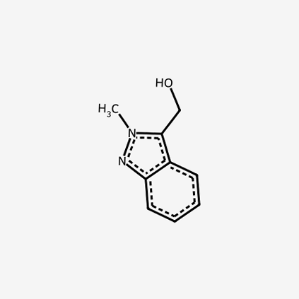 Cn1nc2ccccc2c1CO